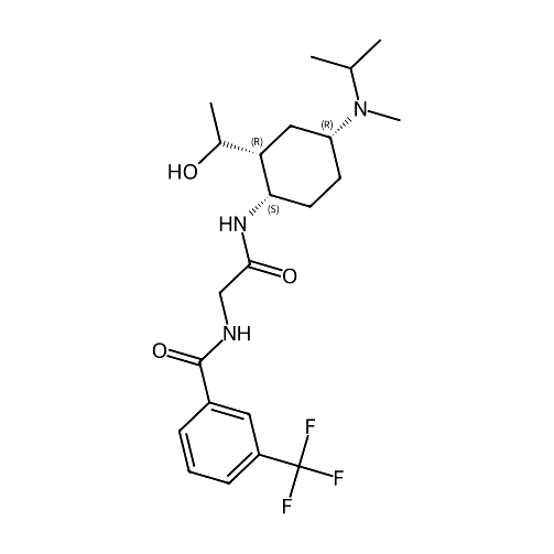 CC(O)[C@@H]1C[C@H](N(C)C(C)C)CC[C@@H]1NC(=O)CNC(=O)c1cccc(C(F)(F)F)c1